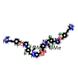 COCCn1c(Cc2cc(F)c(-c3cccc(OCc4ccc(C#Cc5cncn5C)cc4F)n3)cc2F)nc2ccc(C(=O)OC(=O)c3ccc4nc(Cc5cc(F)c(-c6cccc(OCc7ccc(C#Cc8cncn8C)cc7F)n6)cc5F)n(CCOC)c4c3)cc21